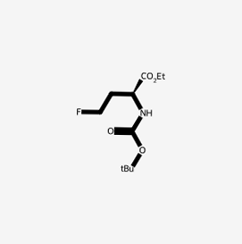 CCOC(=O)[C@H](CCF)NC(=O)OC(C)(C)C